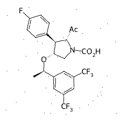 CC(=O)[C@H]1[C@H](c2ccc(F)cc2)[C@@H](O[C@H](C)c2cc(C(F)(F)F)cc(C(F)(F)F)c2)CN1C(=O)O